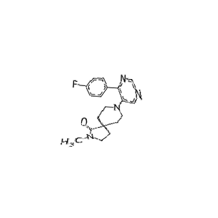 CN1CCC2(CCN(c3cncnc3-c3ccc(F)cc3)CC2)C1=O